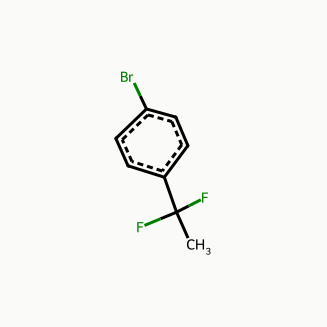 CC(F)(F)c1ccc(Br)cc1